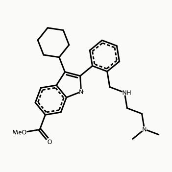 COC(=O)c1ccc2c(c1)[N]C(c1ccccc1CNCCN(C)C)=C2C1CCCCC1